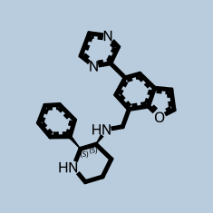 c1ccc([C@@H]2NCCC[C@@H]2NCc2cc(-c3cnccn3)cc3ccoc23)cc1